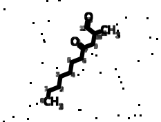 CCCCCCCC(=O)CC(C)C=O